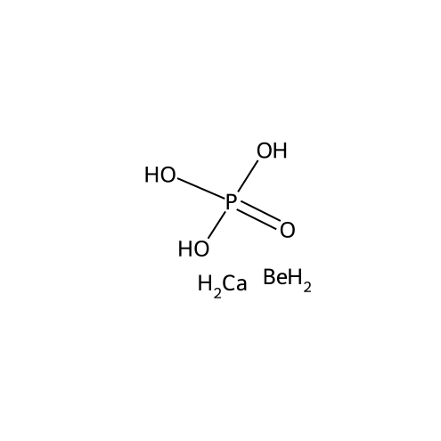 O=P(O)(O)O.[BeH2].[CaH2]